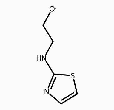 [O]CCNc1nccs1